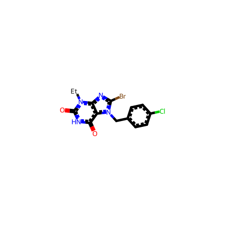 CCn1c(=O)[nH]c(=O)c2c1nc(Br)n2Cc1ccc(Cl)cc1